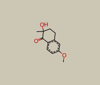 COc1ccc2c(c1)CCC(C)(O)C2=O